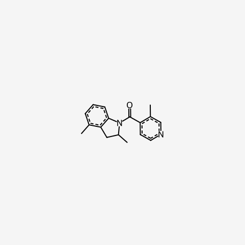 Cc1cnccc1C(=O)N1c2cccc(C)c2CC1C